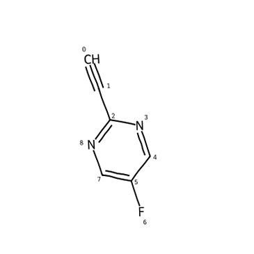 C#Cc1ncc(F)cn1